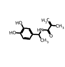 C=C(C)C(=O)NC(C)c1ccc(O)c(O)c1